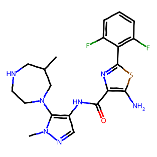 CC1CNCCN(c2c(NC(=O)c3nc(-c4c(F)cccc4F)sc3N)cnn2C)C1